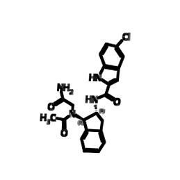 CC(=O)N(CC(N)=O)[C@@H]1c2ccccc2C[C@H]1NC(=O)c1cc2cc(Cl)ccc2[nH]1